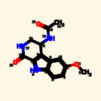 COc1ccc2[nH]c3c(c2c1)C(NC(C)=O)CNC3=O